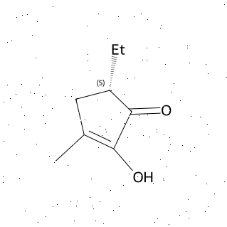 CC[C@H]1CC(C)=C(O)C1=O